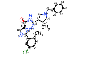 Cc1ccc(Cl)cc1-c1ncc2c(=O)[nH]c(C3CN(Cc4ccccc4)CC3C)nn12